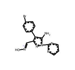 Nc1c(-c2ccc(Br)cc2)c(/C=N/O)nn1-c1ncccn1